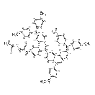 COc1ccc(C(=Cc2ccc(N(c3ccc(C)cc3)c3ccc(C)cc3)cc2)c2ccc(C(=Cc3ccc(N(c4ccc(C)cc4)c4ccc(C)cc4)cc3)c3ccc(OC(=O)OCC(C)=O)cc3)cc2)cc1